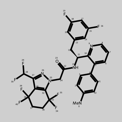 CNc1ccc(-c2cccnc2[C@H](Cc2cc(F)cc(F)c2)NC(=O)Cn2nc(C(F)F)c3c2C(F)(F)CCC3(F)F)cc1